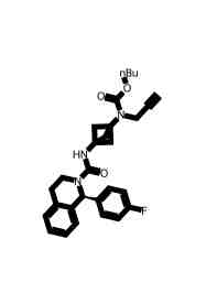 C#CCN(C(=O)OCCCC)C12CC(NC(=O)N3CCc4ccccc4[C@@H]3c3ccc(F)cc3)(C1)C2